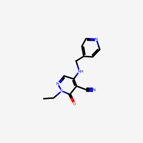 CCn1ncc(NCc2ccncc2)c(C#N)c1=O